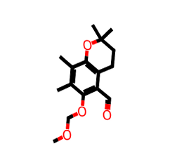 COCOc1c(C)c(C)c2c(c1C=O)CCC(C)(C)O2